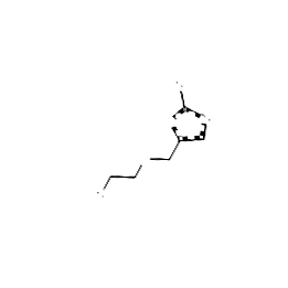 NCCSCc1cnc(N)s1